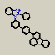 c1ccc(C2Nc3ccccc3N2c2cccc(-c3ccc(-c4ccc5c6c(cccc46)-c4ccccc4-5)cc3)c2)cc1